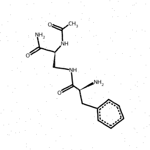 CC(=O)N[C@@H](CNC(=O)[C@@H](N)Cc1ccccc1)C(N)=O